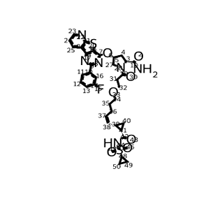 NC(=O)[C@@H]1C[C@@H](Oc2nc(-c3cccc(F)c3)nc3c2sc2ncccc23)CN1C(=O)CCOCCC/C=C\[C@@H]1C[C@@H]1C(=O)NS(=O)(=O)C1CC1